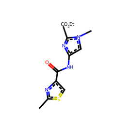 CCOC(=O)c1nc(NC(=O)c2csc(C)n2)cn1C